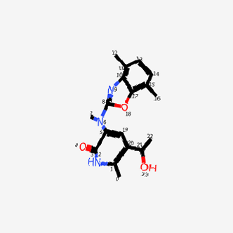 Cc1[nH]c(=O)c(N(C)c2nc3c(C)ccc(C)c3o2)cc1C(C)O